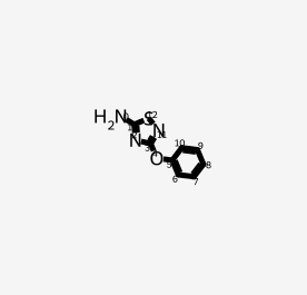 Nc1nc(Oc2ccccc2)ns1